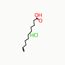 C=CCCCCCCCCC(=O)O.Cl